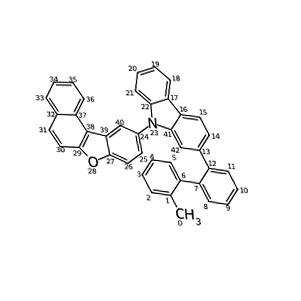 Cc1ccccc1-c1ccccc1-c1ccc2c3ccccc3n(-c3ccc4oc5ccc6ccccc6c5c4c3)c2c1